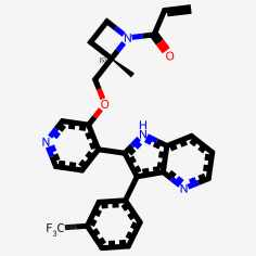 C=CC(=O)N1CC[C@@]1(C)COc1cnccc1-c1[nH]c2cccnc2c1-c1cccc(C(F)(F)F)c1